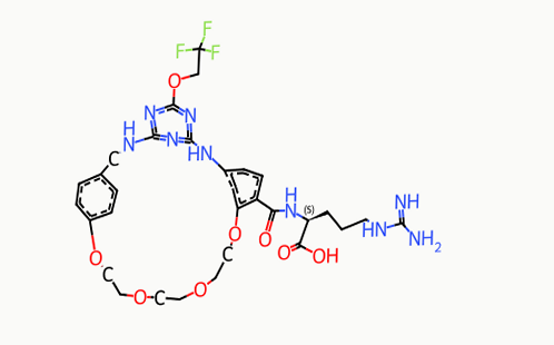 N=C(N)NCCC[C@H](NC(=O)c1ccc2cc1OCCOCCOCCOc1ccc(cc1)CNc1nc(nc(OCC(F)(F)F)n1)N2)C(=O)O